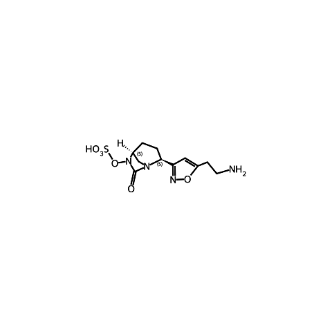 NCCc1cc([C@@H]2CC[C@H]3CN2C(=O)N3OS(=O)(=O)O)no1